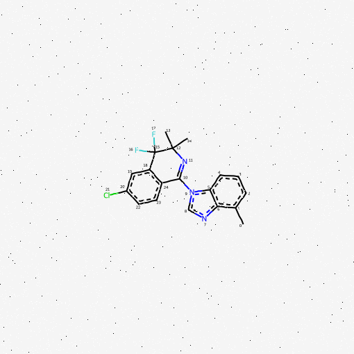 Cc1cccc2c1ncn2C1=NC(C)(C)C(F)(F)c2cc(Cl)ccc21